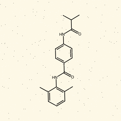 Cc1cccc(C)c1NC(=O)c1ccc(NC(=O)C(C)C)cc1